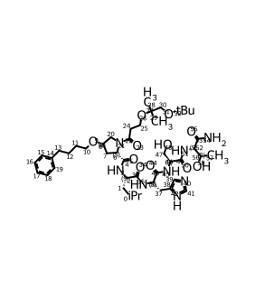 CC(C)C[C@H](NC(=O)[C@@H]1C[C@@H](OCCCCc2ccccc2)CN1C(=O)CCOC(C)(C)COC(C)(C)C)C(=O)N[C@@H](Cc1cnc[nH]1)C(=O)N[C@@H](CO)C(=O)N[C@H](C(N)=O)[C@@H](C)O